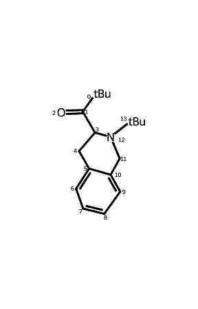 CC(C)(C)C(=O)C1Cc2ccccc2CN1C(C)(C)C